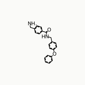 NCc1ccc(C(=O)NCc2ccc(Oc3ccccc3)cc2)cc1